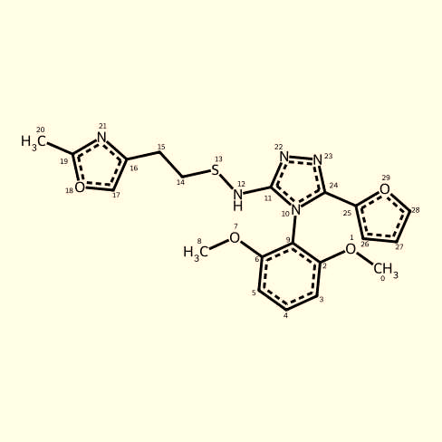 COc1cccc(OC)c1-n1c(NSCCc2coc(C)n2)nnc1-c1ccco1